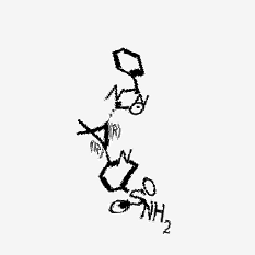 CC1(C)[C@H](c2ccc(S(N)(=O)=O)cn2)[C@H]1c1nc(-c2ccccc2)no1